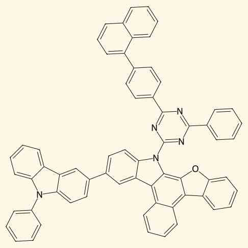 c1ccc(-c2nc(-c3ccc(-c4cccc5ccccc45)cc3)nc(-n3c4ccc(-c5ccc6c(c5)c5ccccc5n6-c5ccccc5)cc4c4c5ccccc5c5c6ccccc6oc5c43)n2)cc1